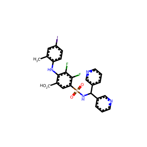 Cc1cc(I)ccc1Nc1c(C(=O)O)cc(S(=O)(=O)NC(c2cccnc2)c2cccnc2)c(F)c1F